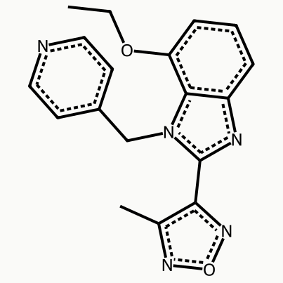 CCOc1cccc2nc(-c3nonc3C)n(Cc3ccncc3)c12